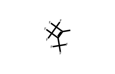 CC1=C(C(F)(F)F)C(F)(F)C1(F)F